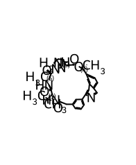 CC(C)[C@@H]1NC(=O)Cc2cccc(c2)-c2cc3cc(ccc3cn2)[C@@H](C)OC(=O)[C@@H]2CCCN(C(=O)[C@H](C)NC1=O)N2N